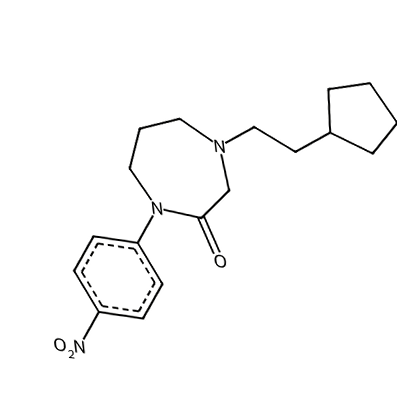 O=C1CN(CCC2CCCC2)CCCN1c1ccc([N+](=O)[O-])cc1